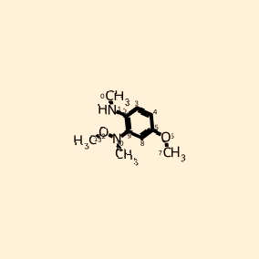 CNc1ccc(OC)cc1N(C)OC